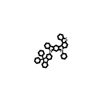 c1ccc(-n2c3cc4c(cc3c3c5c(ccc32)sc2ccccc25)c2ccccc2n4-c2ccc3c(c2)C(c2ccccc2)(c2ccccc2)c2ccccc2-3)cc1